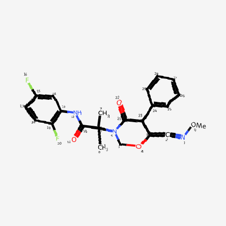 CON=C=C1OCN(C(C)(C)C(=O)Nc2cc(F)ccc2F)C(=O)C1c1ccccc1